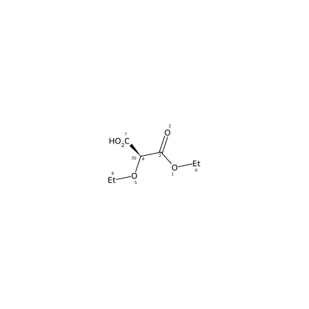 CCOC(=O)[C@@H](OCC)C(=O)O